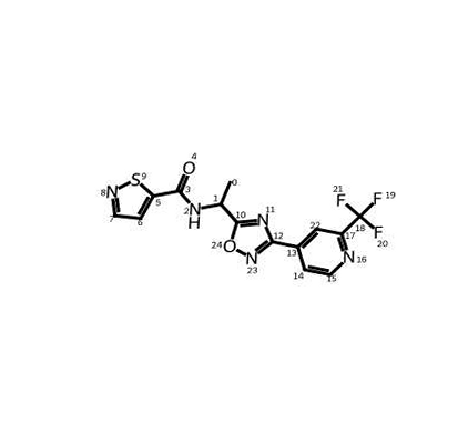 CC(NC(=O)c1ccns1)c1nc(-c2ccnc(C(F)(F)F)c2)no1